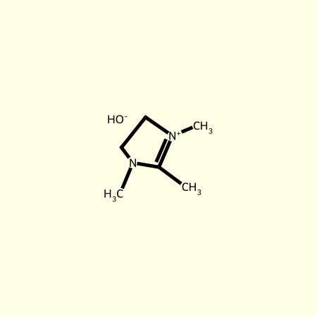 CC1=[N+](C)CCN1C.[OH-]